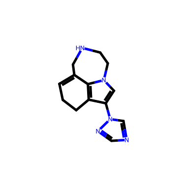 C1=C2CNCCn3cc(-n4cncn4)c(c32)CC1